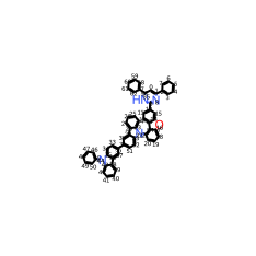 C1=C(c2ccccc2)N=C(c2ccc3c(c2)oc2cccc(-n4c5ccccc5c5cc(-c6ccc7c(c6)c6ccccc6n7-c6ccccc6)ccc54)c23)NC1c1ccccc1